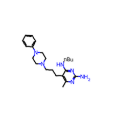 CCCCNc1nc(N)nc(C)c1CCCN1CCN(c2ccccc2)CC1